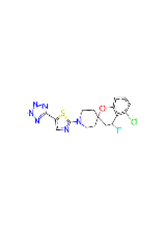 FC1CC2(CCN(c3ncc(C4=N[N]N=N4)s3)CC2)Oc2cccc(Cl)c21